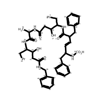 CC(C)CC(NC(=O)C(C=CC(Cc1ccccc1)NC(=O)O)Cc1ccccc1)C(O)CC(=O)NC(C)C(=O)NC(CC(C)C)C(O)CC(=O)NCc1ccccc1